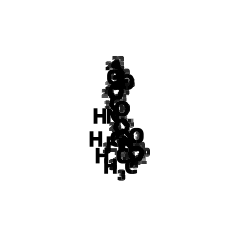 CCN(C(=O)c1ccc(NC(=O)Cc2ccc(S(=O)(=O)CC3CC3)cc2)cc1C)c1cccc(C)c1C